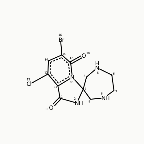 O=C1NC2(CNCCNC2)n2c1c(Cl)cc(Br)c2=O